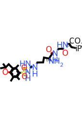 Cc1c(C)c(S(=O)(=O)NC(=N)NCCC[C@H](N)C(=O)NCC(=O)N[C@@H](CC(C)C)C(=O)O)c(C)c2c1OC(C)(C)C2